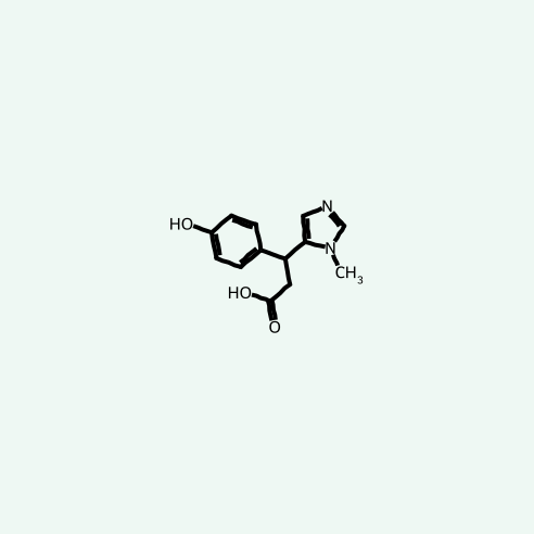 Cn1cncc1C(CC(=O)O)c1ccc(O)cc1